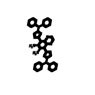 Nc1c(N)c(-c2ccc(N(c3ccccc3)c3ccccc3)s2)c2nccnc2c1-c1ccc(N(c2ccccc2)c2ccccc2)s1